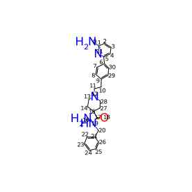 Nc1cccc(-c2ccc(CCN3CCC(N)(C(=O)NCc4ccccc4)CC3)cc2)n1